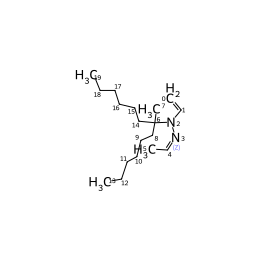 C=CN(/N=C\C)C(C)(CCCCCC)CCCCCC